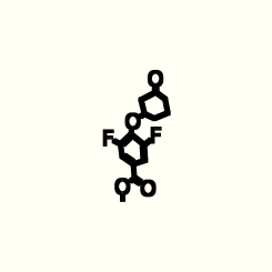 COC(=O)c1cc(F)c(OC2CCCC(=O)C2)c(F)c1